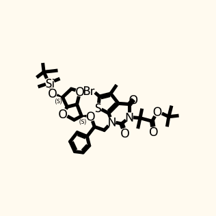 Cc1c(Br)sc2c1c(=O)n(C(C)(C)C(=O)OC(C)(C)C)c(=O)n2CC(O[C@H]1COC2C1OC[C@@H]2O[Si](C)(C)C(C)(C)C)c1ccccc1